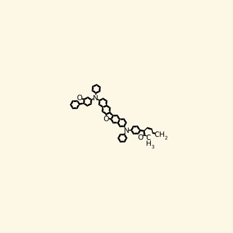 C=C/C=C\c1c(C)oc2cc(N(c3ccccc3)c3ccc4cc5c(cc4c3)oc3cc4cc(N(c6ccccc6)c6ccc7c(c6)oc6ccccc67)ccc4cc35)ccc12